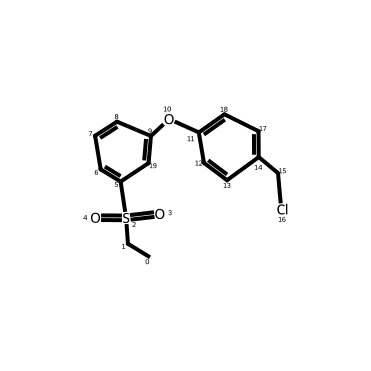 CCS(=O)(=O)c1cccc(Oc2ccc(CCl)cc2)c1